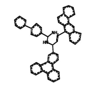 NC(NC(/C=C/c1c2ccccc2cc2c1ccc1ccccc12)c1ccc2c3ccccc3c3ccccc3c2c1)c1ccc(-c2ccccc2)cc1